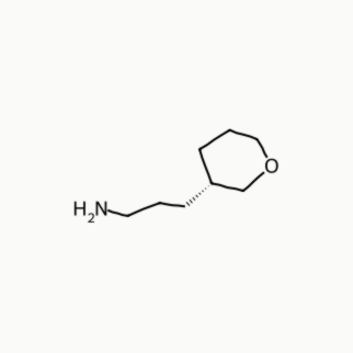 NCCC[C@@H]1CCCOC1